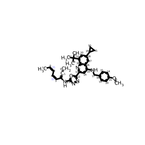 C=C=C(/C=C\C=C/C)Nc1nnc(-c2cc(NCc3ccc(OC)cc3)c3cc(C4CC4)cc(C(C)(C)C)c3n2)o1